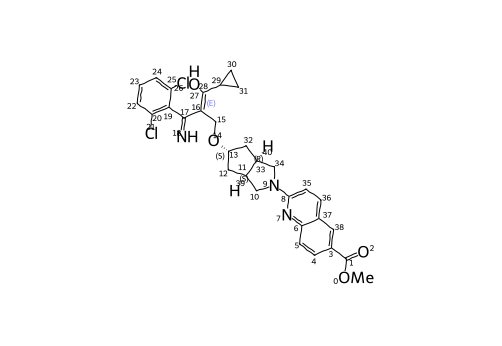 COC(=O)c1ccc2nc(N3C[C@H]4C[C@H](OC/C(C(=N)c5c(Cl)cccc5Cl)=C(/O)C5CC5)C[C@H]4C3)ccc2c1